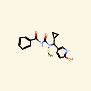 CCCSN(C(=O)NC(=O)c1ccccc1)C(c1ccc(O)nc1)C1CC1